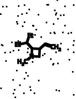 C=CC1CN(C)C1C(CC)CC